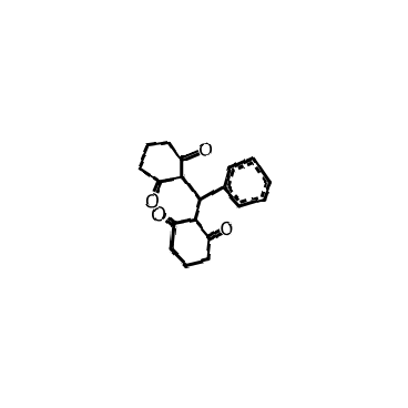 O=C1CCCC(=O)C1C(c1ccccc1)C1C(=O)CCCC1=O